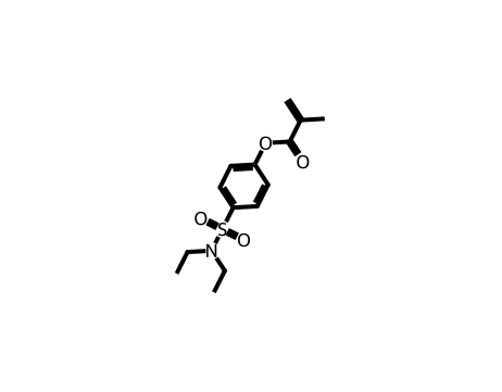 C=C(C)C(=O)Oc1ccc(S(=O)(=O)N(CC)CC)cc1